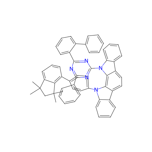 CC1(C)CC(C)(C)c2c(-c3ccc(-n4c5ccccc5c5ccc6c7ccccc7n(-c7nc(-c8ccccc8)nc(-c8ccccc8-c8ccccc8)n7)c6c54)cc3)cccc21